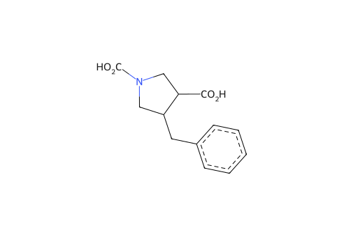 O=C(O)C1CN(C(=O)O)CC1Cc1ccccc1